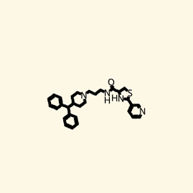 O=C(NCCCN1CCC(C(c2ccccc2)c2ccccc2)CC1)C1CSC(c2cccnc2)N1